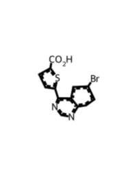 O=C(O)c1ccc(-c2ncnc3ccc(Br)cc23)s1